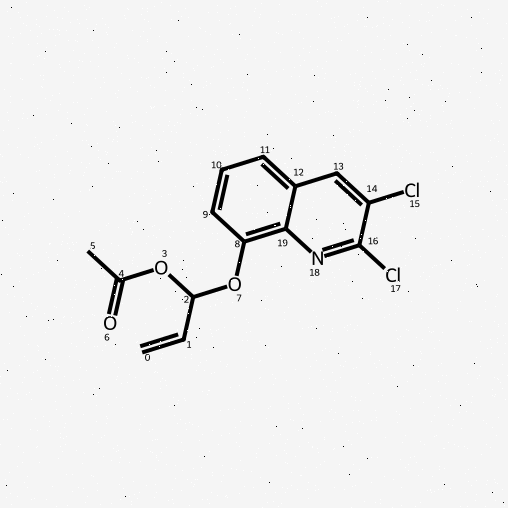 C=CC(OC(C)=O)Oc1cccc2cc(Cl)c(Cl)nc12